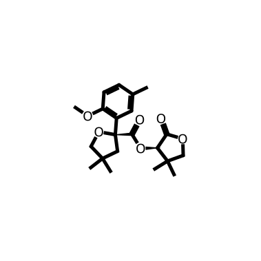 COc1ccc(C)cc1[C@]1(C(=O)O[C@H]2C(=O)OCC2(C)C)CC(C)(C)CO1